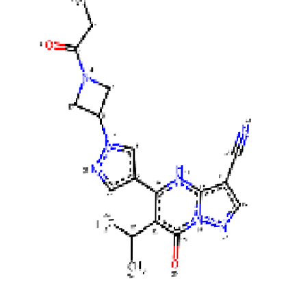 CCC(=O)N1CC(n2cc(-c3[nH]c4c(C#N)cnn4c(=O)c3C(C)C)cn2)C1